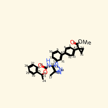 COC(=O)C1(c2ccc(-c3cccc(-n4nnc(C)c4NC(=O)OC(C)c4ccccc4)c3)cc2)CC1